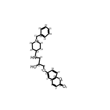 O=c1ccc2cc(OCC(O)CNC3CCN(Cc4ccccc4)CC3)ccc2o1